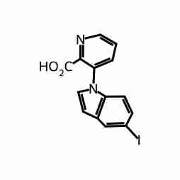 O=C(O)c1ncccc1-n1ccc2cc(I)ccc21